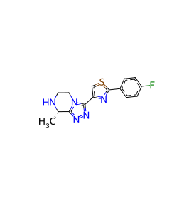 C[C@@H]1NCCn2c(-c3csc(-c4ccc(F)cc4)n3)nnc21